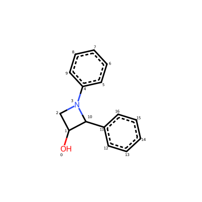 OC1CN(c2ccccc2)C1c1ccccc1